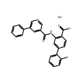 O=C(Nc1cc(-c2ccccc2F)ccc1C(=O)[O-])c1cncc(-c2ccccc2)c1.[Na+]